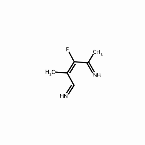 CC(=N)/C(F)=C(/C)C=N